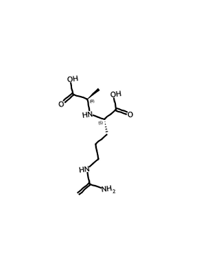 C=C(N)NCCC[C@H](N[C@H](C)C(=O)O)C(=O)O